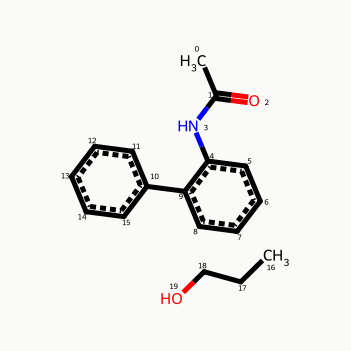 CC(=O)Nc1ccccc1-c1ccccc1.CCCO